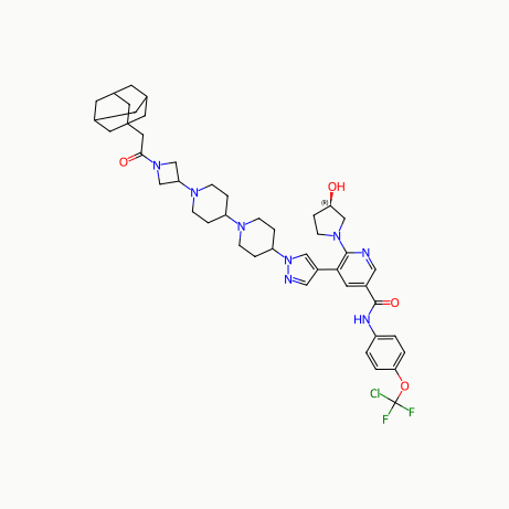 O=C(Nc1ccc(OC(F)(F)Cl)cc1)c1cnc(N2CC[C@@H](O)C2)c(-c2cnn(C3CCN(C4CCN(C5CN(C(=O)CC67CC8CC(CC(C8)C6)C7)C5)CC4)CC3)c2)c1